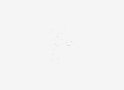 CCC(=O)O[C@H]1C(=O)N(CCN(C)C)c2ccc(Cl)cc2S[C@H]1c1ccc(OC)cc1.O=C(O)C(=O)O